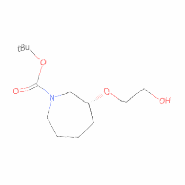 CC(C)(C)OC(=O)N1CCCC[C@@H](OCCO)C1